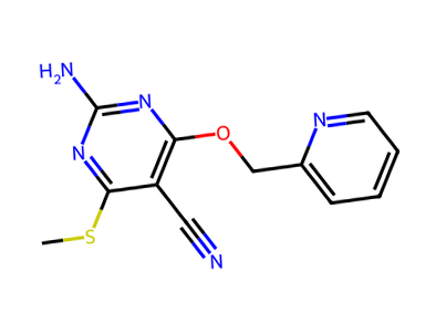 CSc1nc(N)nc(OCc2ccccn2)c1C#N